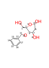 OC[C@H]1OC(O)C[C@@H](O)[C@@H]1OCc1ccccc1